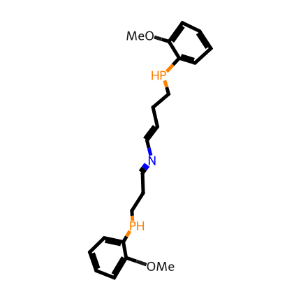 COc1ccccc1PCCC=CN=CCCPc1ccccc1OC